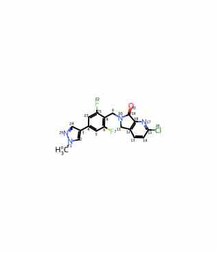 Cn1cc(-c2cc(F)c(CN3Cc4ccc(Cl)nc4C3=O)c(F)c2)cn1